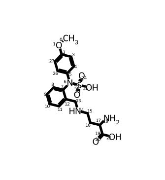 COc1ccc(N(c2ccccc2CNCCC(N)C(=O)O)S(=O)(=O)O)cc1